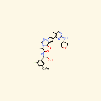 COc1cc(F)cc([C@@H](CO)NC(=O)C(C)n2cnn3cc(-c4nc(NC5CCOCC5)ncc4C)cc3c2=O)c1